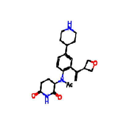 C=C(c1cc(C2CCNCC2)ccc1N(C(C)=O)C1CCC(=O)NC1=O)C1COC1